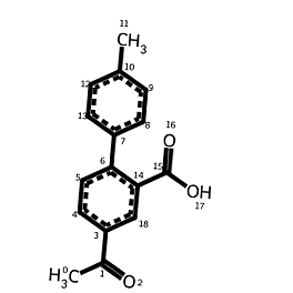 CC(=O)c1ccc(-c2ccc(C)cc2)c(C(=O)O)c1